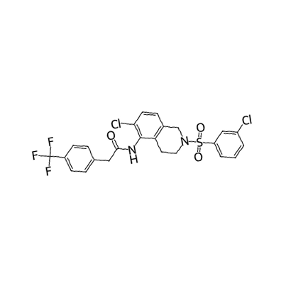 O=C(Cc1ccc(C(F)(F)F)cc1)Nc1c(Cl)ccc2c1CCN(S(=O)(=O)c1cccc(Cl)c1)C2